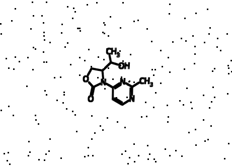 Cc1nccc(N2C(=O)OCC2C(C)O)n1